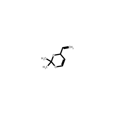 C=CC1C=COC(C)(C)O1